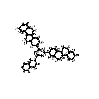 c1ccc2cc(-c3nc(-c4ccc5c(ccc6c7ccccc7ccc56)c4)nc(-c4ccc5c(ccc6c7ccccc7ccc56)c4)n3)ccc2c1